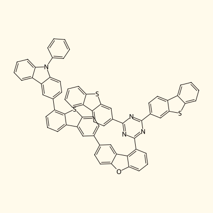 c1ccc(-n2c3ccccc3c3cc(-c4cccc5c4sc4ccc(-c6ccc7oc8cccc(-c9nc(-c%10ccc%11c(c%10)sc%10ccccc%10%11)nc(-c%10ccc%11c(c%10)sc%10ccccc%10%11)n9)c8c7c6)cc45)ccc32)cc1